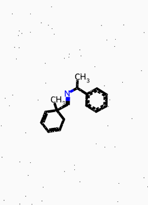 CC(/N=C/C1(C)C=CC=CC1)c1ccccc1